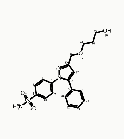 NS(=O)(=O)c1ccc(-n2nc(COCCCO)cc2-c2ccccc2)cc1